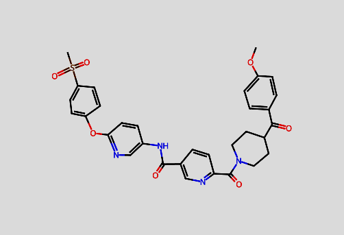 COc1ccc(C(=O)C2CCN(C(=O)c3ccc(C(=O)Nc4ccc(Oc5ccc(S(C)(=O)=O)cc5)nc4)cn3)CC2)cc1